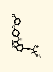 CC(C)(N)C(O)C#Cc1ccc2ncnc(Nc3ccc(Oc4cccc(Cl)c4)cc3)c2c1